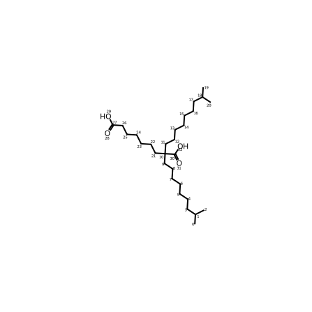 CC(C)CCCCCCCC(CCCCCCCC(C)C)(CCCCCCC(=O)O)C(=O)O